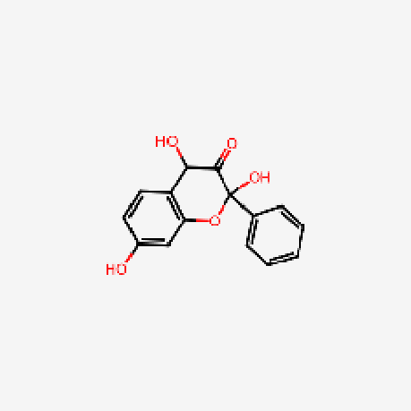 O=C1C(O)c2ccc(O)cc2OC1(O)c1ccccc1